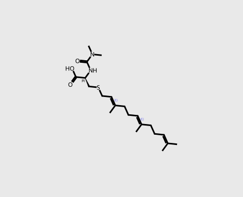 CC(C)=CCC/C(C)=C/CC/C(C)=C/CSC[C@H](NC(=O)N(C)C)C(=O)O